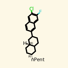 CCCCC[C@@H]1CC[C@@H]2CC(c3ccc4cc(Cl)c(F)cc4c3)CCC2C1